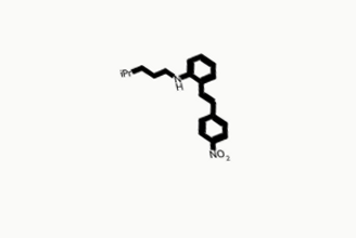 CC(C)CCCNc1ccccc1C=Cc1ccc([N+](=O)[O-])cc1